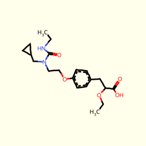 CCNC(=O)N(CCOc1ccc(CC(OCC)C(=O)O)cc1)CC1CC1